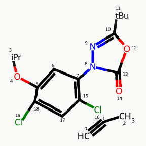 C#CC.CC(C)Oc1cc(-n2nc(C(C)(C)C)oc2=O)c(Cl)cc1Cl